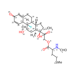 CSCCC(NC=O)C(=O)OCC(=O)[C@@]1(O)[C@@H](C)C[C@H]2[C@@H]3CCC4=CC(=O)C=C[C@]4(C)[C@@]3(F)[C@@H](O)C[C@@]21C